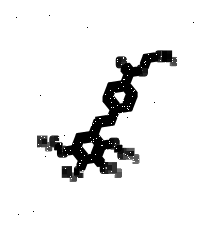 CCOC(=O)c1ccc(C=Cc2cc(OC)c(C)c(C)c2OC)cc1